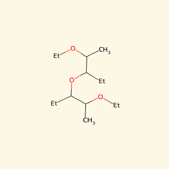 CCOC(C)C(CC)OC(CC)C(C)OCC